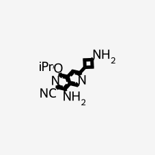 CC(C)Oc1nc(C#N)c(N)c2cnc(C3CC(N)C3)cc12